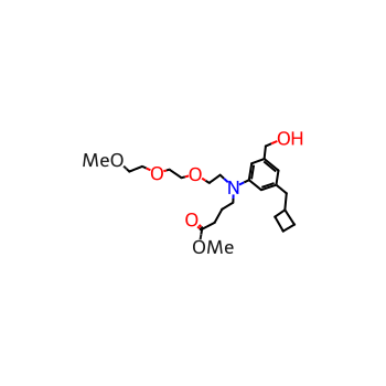 COCCOCCOCCN(CCCC(=O)OC)c1cc(CO)cc(CC2CCC2)c1